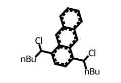 CCCCC(Cl)c1ccc(C(Cl)CCCC)c2cc3ccccc3cc12